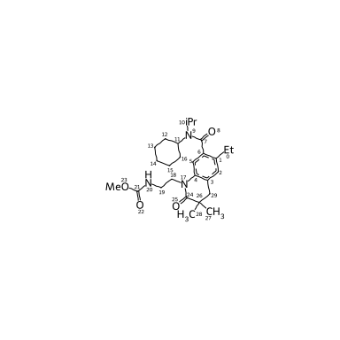 CCc1cc2c(cc1C(=O)N(C(C)C)C1CCCCC1)N(CCNC(=O)OC)C(=O)C(C)(C)C2